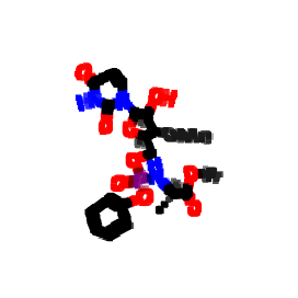 COC1C(O)[C@H](n2ccc(=O)[nH]c2=O)O[C@@H]1COP(=O)(N[C@@H](C)C(=O)OC(C)C)Oc1ccccc1